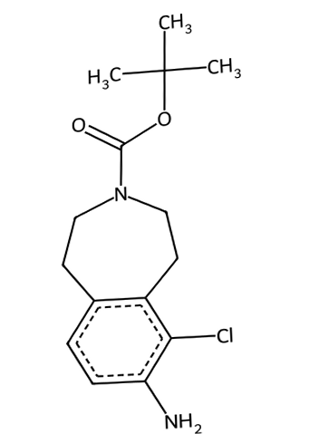 CC(C)(C)OC(=O)N1CCc2ccc(N)c(Cl)c2CC1